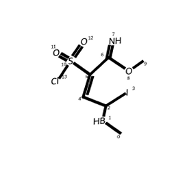 CBC(I)/C=C(\C(=N)OC)S(=O)(=O)Cl